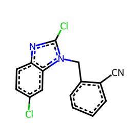 N#Cc1ccccc1Cn1c(Cl)nc2ccc(Cl)cc21